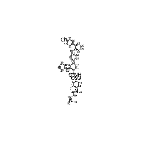 Cc1cc(S(=O)(=O)NC(=O)c2ccc(N3CCN(Cc4ccccc4-c4ccc(Cl)cc4)CC3)cc2Oc2ccccc2)ccc1N(C)CCCN(C)C